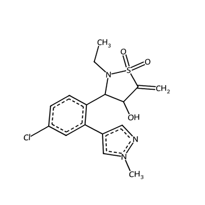 C=C1C(O)C(c2ccc(Cl)cc2-c2cnn(C)c2)N(CC)S1(=O)=O